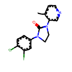 Cc1ccncc1N1CCN(c2ccc(Cl)c(F)c2)C1=O